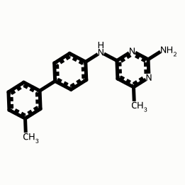 Cc1cccc(-c2ccc(Nc3cc(C)nc(N)n3)cc2)c1